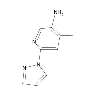 Cc1cc(-n2cccn2)ncc1N